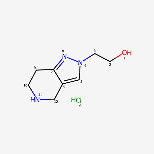 Cl.OCCn1cc2c(n1)CCNC2